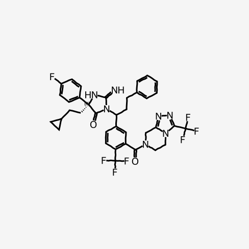 N=C1N[C@](CCC2CC2)(c2ccc(F)cc2)C(=O)N1C(CCc1ccccc1)c1ccc(C(F)(F)F)c(C(=O)N2CCn3c(nnc3C(F)(F)F)C2)c1